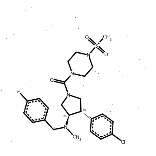 CN(Cc1ccc(F)cc1)[C@H]1CN(C(=O)N2CCN(S(C)(=O)=O)CC2)C[C@@H]1c1ccc(Cl)cc1